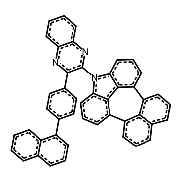 c1ccc2c(-c3ccc(-c4nc5ccccc5nc4-n4c5cccc6c5c5c(cccc54)-c4cccc5cccc-6c45)cc3)cccc2c1